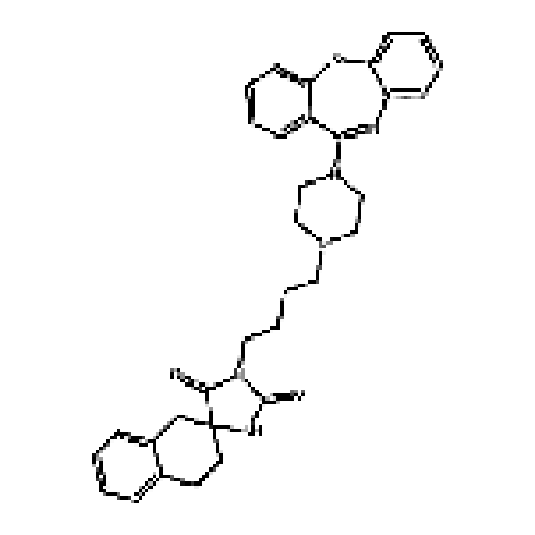 O=C1NC2(CCc3ccccc3C2)C(=O)N1CCCCN1CCN(C2=Nc3ccccc3Sc3ccccc32)CC1